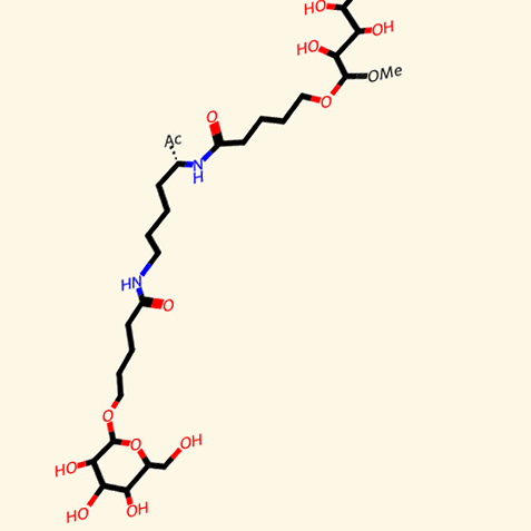 COC(OCCCCC(=O)N[C@H](CCCCNC(=O)CCCCOC1OC(CO)C(O)C(O)C1O)C(C)=O)C(O)C(O)C(O)C(C)CO